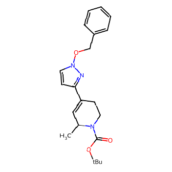 CC1C=C(c2ccn(OCc3ccccc3)n2)CCN1C(=O)OC(C)(C)C